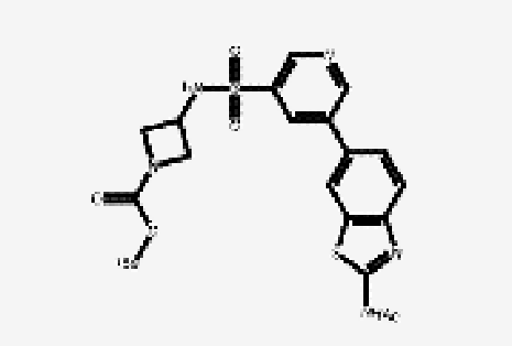 CC(=O)Nc1nc2ccc(-c3cncc(S(=O)(=O)NC4CN(C(=O)OC(C)(C)C)C4)c3)cc2s1